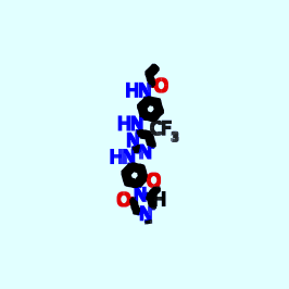 C=CC(=O)Nc1cccc(Nc2nc(Nc3ccc4c(c3)OC[C@H]3CN(C)CC(=O)N43)ncc2C(F)(F)F)c1